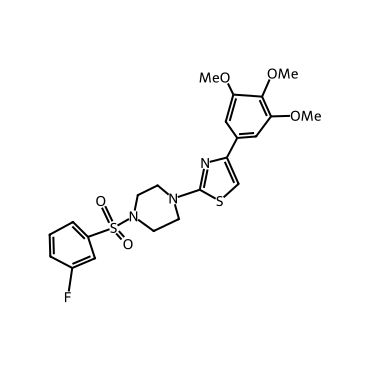 COc1cc(-c2csc(N3CCN(S(=O)(=O)c4cccc(F)c4)CC3)n2)cc(OC)c1OC